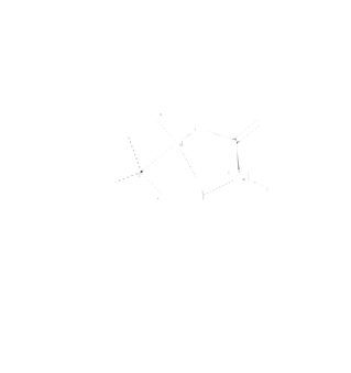 C=C(O[Si](C)(C)C(C)(C)C)[SiH](Cl)Cl